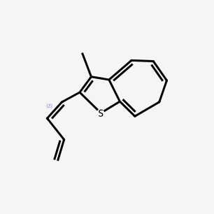 C=C/C=C\c1sc2c(c1C)=CC=CCC=2